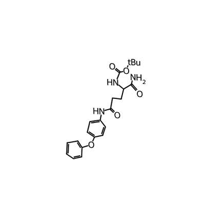 CC(C)(C)OC(=O)NC(CCC(=O)Nc1ccc(Oc2ccccc2)cc1)C(N)=O